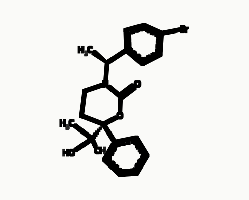 C[C@@H](c1ccc(Br)cc1)N1CC[C@@](c2ccccc2)(C(C)(C)O)OC1=O